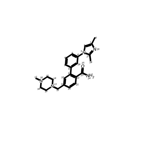 Cc1cn(-c2cccc(-c3cc(CN4CCN(C)CC4)ccc3C(N)=O)c2)c(C)n1